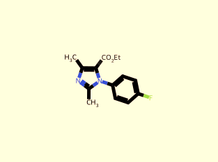 CCOC(=O)c1c(C)nc(C)n1-c1ccc(F)cc1